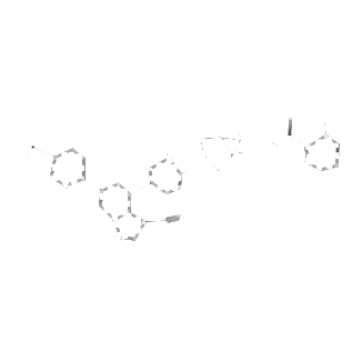 CC(C)(O)c1ccc(-c2cc(-c3ccc(N4CC5[C@H](CNC(=O)c6ncccc6Cl)[C@H]5C4)nc3)c3c(C#N)cnn3c2)nc1